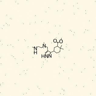 CNCCN(C)Cc1c[nH]nc1C1CCC(C)(C)C(C(=O)OC)C1